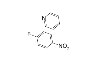 O=[N+]([O-])c1ccc(F)cc1.c1ccncc1